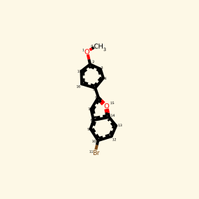 COc1ccc(-c2cc3cc(Br)ccc3o2)cc1